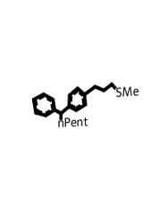 CCCCCC(c1ccccc1)c1ccc(CCCSC)cc1